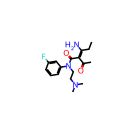 CC/C(N)=C(\C(C)=O)C(=O)N(CCN(C)C)c1cccc(F)c1